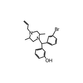 C=CCN1CC(C)N(C(c2cccc(O)c2)c2cccc(Br)c2)CC1C